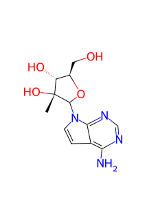 C[C@]1(O)C(n2ccc3c(N)ncnc32)O[C@H](CO)[C@H]1O